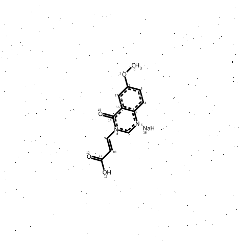 COc1ccc2ncn(C=CC(=O)O)c(=O)c2c1.[NaH]